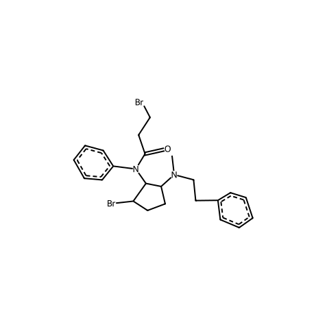 CN(CCc1ccccc1)C1CCC(Br)C1N(C(=O)CCBr)c1ccccc1